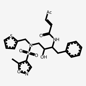 CC(=O)/C=C/C(=O)NC(Cc1ccccc1)C(O)CN(Cc1cccs1)S(=O)(=O)c1cnoc1C